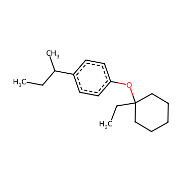 CCC(C)c1ccc(OC2(CC)CCCCC2)cc1